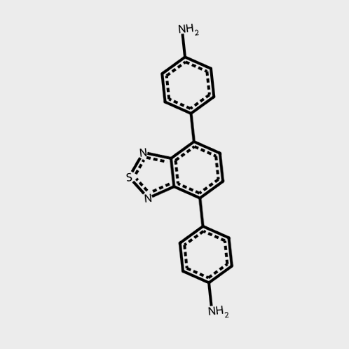 Nc1ccc(-c2ccc(-c3ccc(N)cc3)c3nsnc23)cc1